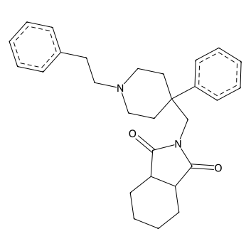 O=C1C2CCCCC2C(=O)N1CC1(c2ccccc2)CCN(CCc2ccccc2)CC1